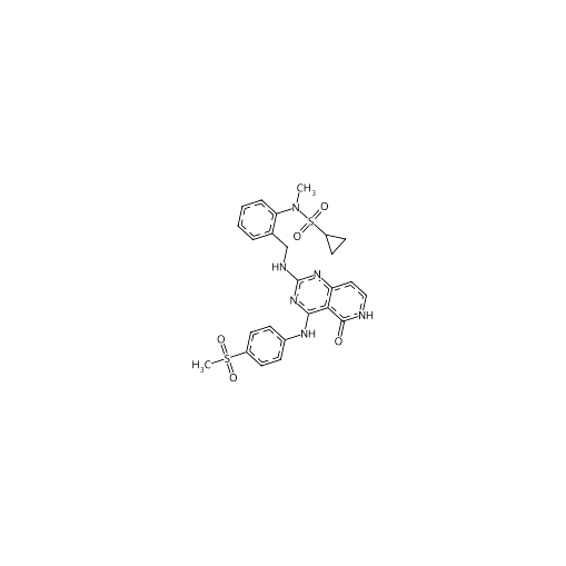 CN(c1ccccc1CNc1nc(Nc2ccc(S(C)(=O)=O)cc2)c2c(=O)[nH]ccc2n1)S(=O)(=O)C1CC1